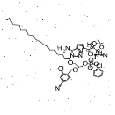 CCCCCCCCCCCCCCCCCCOCC(COP(=O)(OC[C@@]1(C#N)O[C@@H](c2ccc3c(N)ncnn23)[C@@H]2OC(C)(C)O[C@@H]21)Oc1ccccc1Cl)OCc1ccc(C#N)cc1OC